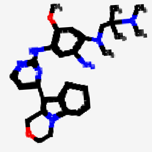 COc1cc(N(C)CC(C)(C)N(C)C)c(N)cc1Nc1nccc(-c2c3n(c4ccccc24)CCOC3)n1